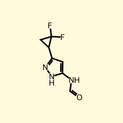 O=CNc1cc(C2CC2(F)F)n[nH]1